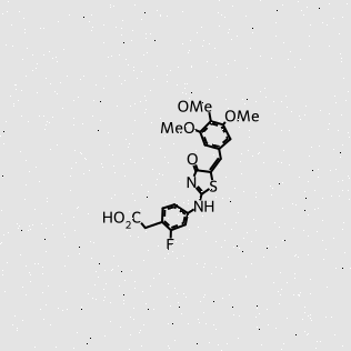 COc1cc(C=C2SC(Nc3ccc(CC(=O)O)c(F)c3)=NC2=O)cc(OC)c1OC